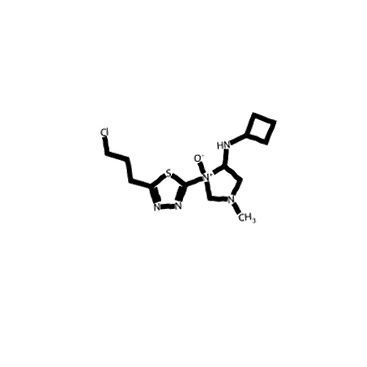 CN1CC(NC2CCC2)[N+]([O-])(c2nnc(CCCCl)s2)C1